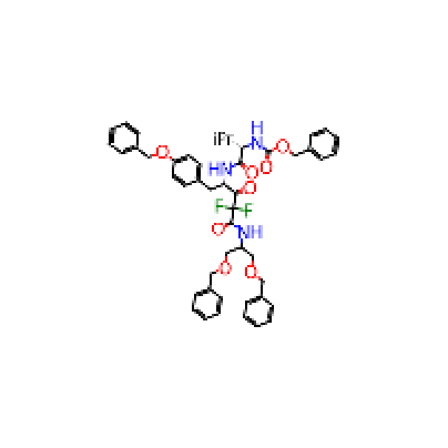 CC(C)[C@H](NC(=O)OCc1ccccc1)C(=O)NC(Cc1ccc(OCc2ccccc2)cc1)C(=O)C(F)(F)C(=O)NC(COCc1ccccc1)COCc1ccccc1